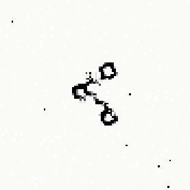 O=C(NC1CCCCC1)c1cccnc1SCCc1ccccn1